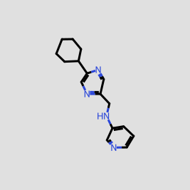 c1cncc(NCc2cnc(C3CCCCC3)cn2)c1